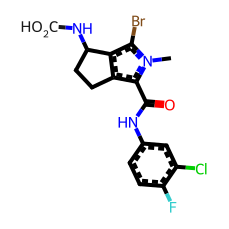 Cn1c(Br)c2c(c1C(=O)Nc1ccc(F)c(Cl)c1)CCC2NC(=O)O